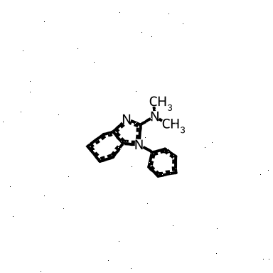 CN(C)c1nc2ccccc2n1-c1ccccc1